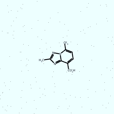 Cc1nc2c(C(=O)O)ccc(C(F)(F)F)n2n1